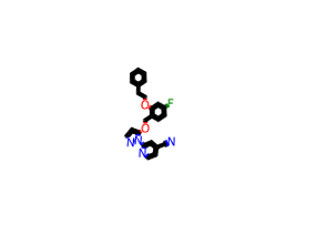 N#Cc1ccnc(-n2nccc2OCc2ccc(F)cc2OCCc2ccccc2)c1